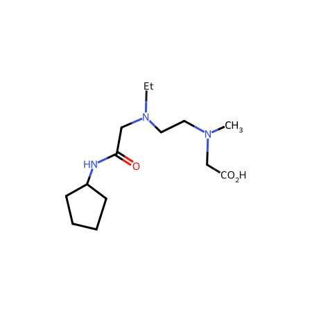 CCN(CCN(C)CC(=O)O)CC(=O)NC1CCCC1